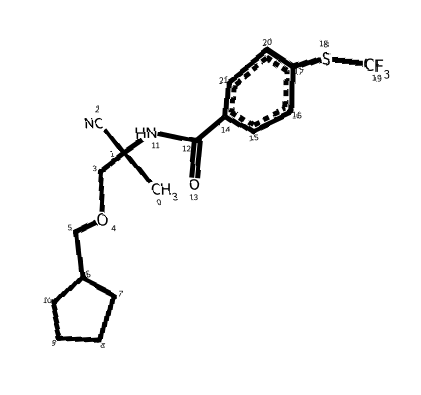 CC(C#N)(COCC1CCCC1)NC(=O)c1ccc(SC(F)(F)F)cc1